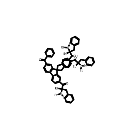 CCN(CC)C(CC)(Cc1ccccc1)C(=O)c1ccc(CC2(Cc3ccc(C(O)C(CC)(Cc4ccccc4)N(CC)CC)cc3)c3cc(C(=O)c4ccccc4)ccc3-c3ccc(C(=O)C(CC)(Cc4ccccc4)N(CC)CC)cc32)cc1